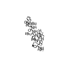 C#CCC(NC(=O)[C@@H]1[C@@H]2[C@H](CN1C(=O)[C@@H](NC(=O)N[C@H](CN(C)S(=O)(=O)c1cccs1)C(C)(C)C)C(C)(C)C)C2(C)C)C(=O)C(=O)NCCC